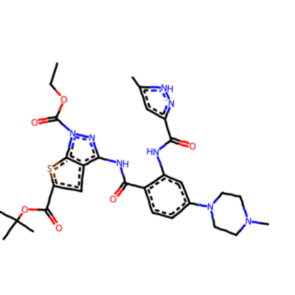 CCOC(=O)n1nc(NC(=O)c2ccc(N3CCN(C)CC3)cc2NC(=O)c2cc(C)[nH]n2)c2cc(C(=O)OC(C)(C)C)sc21